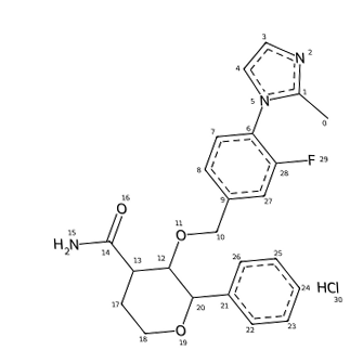 Cc1nccn1-c1ccc(COC2C(C(N)=O)CCOC2c2ccccc2)cc1F.Cl